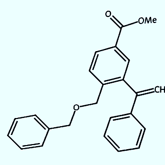 C=C(c1ccccc1)c1cc(C(=O)OC)ccc1COCc1ccccc1